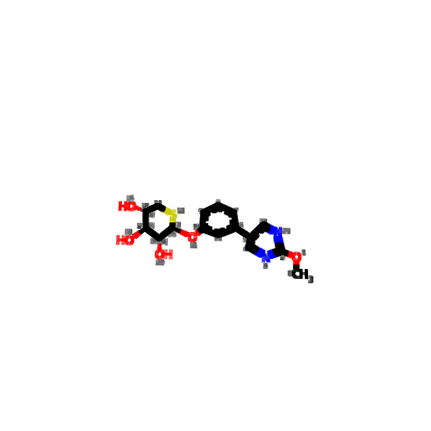 COc1ncc(-c2cccc(O[C@@H]3SC[C@@H](O)[C@H](O)[C@H]3O)c2)cn1